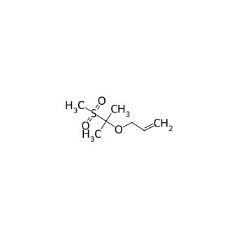 C=CCOC(C)(C)S(C)(=O)=O